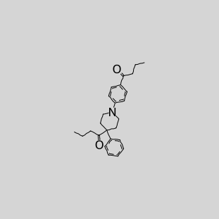 CCCC(=O)c1ccc(N2CCC(C(=O)CCC)(c3ccccc3)CC2)cc1